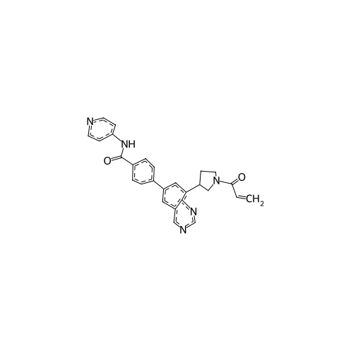 C=CC(=O)N1CCC(c2cc(-c3ccc(C(=O)Nc4ccncc4)cc3)cc3cncnc23)C1